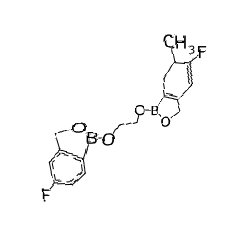 CC1CC2=C(C=C1F)COB2OCCOB1OCc2cc(F)ccc21